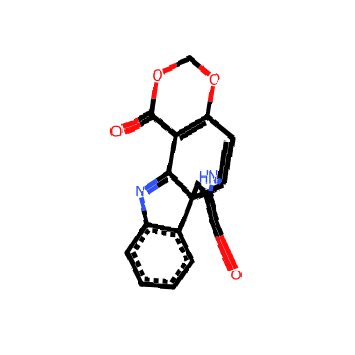 O=C1CC23C(=CC4=C(C(=O)OCO4)C2=Nc2ccccc23)N1